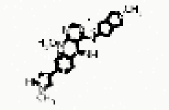 CNc1ncnc(NC2CC3CN(C)CC3C2)c1C(=N)c1ccc(C2=CN(C)NC2)cc1